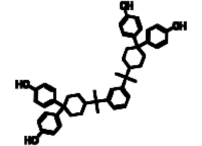 CC(C)(c1cccc(C(C)(C)C2CCC(c3ccc(O)cc3)(c3ccc(O)cc3)CC2)c1)C1CCC(c2ccc(O)cc2)(c2ccc(O)cc2)CC1